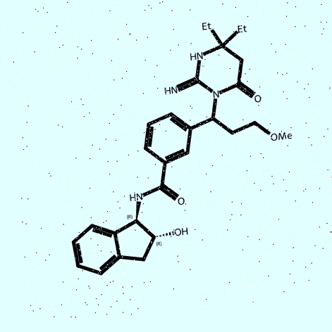 CCC1(CC)CC(=O)N(C(CCOC)c2cccc(C(=O)N[C@@H]3c4ccccc4C[C@H]3O)c2)C(=N)N1